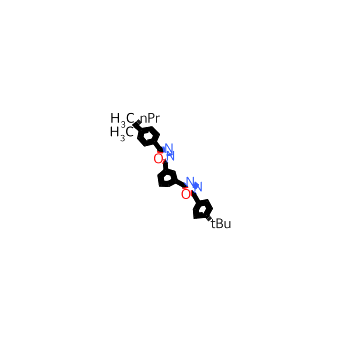 CCCC(C)(C)c1ccc(-c2nnc(-c3cccc(-c4nnc(-c5ccc(C(C)(C)C)cc5)o4)c3)o2)cc1